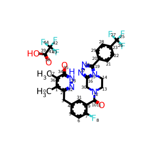 Cc1c(Cc2ccc(F)c(C(=O)N3CCn4c(nnc4-c4ccc(C(F)(F)F)cc4)C3)c2)n[nH]c(=O)c1C.O=C(O)C(F)(F)F